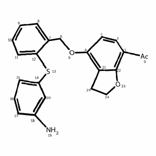 CC(=O)c1ccc(OCc2ccccc2Sc2cccc(N)c2)c2c1OCC2